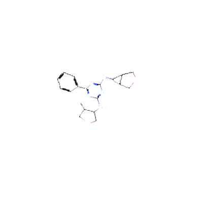 CC1COCC1Nc1nc(NC2C3COCC32)nc(-c2ccccc2)n1